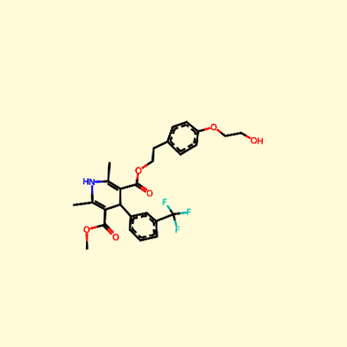 COC(=O)C1=C(C)NC(C)=C(C(=O)OCCc2ccc(OCCO)cc2)C1c1cccc(C(F)(F)F)c1